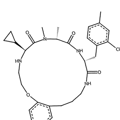 Cc1ccc(C[C@H]2NC(=O)[C@@H](C)N(C)C(=O)[C@H](C3CC3)NCCOc3ccccc3CCCNC2=O)c(Cl)c1